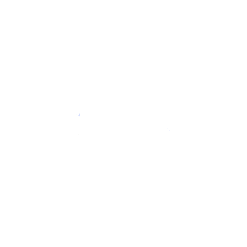 O=C(Nc1ccc(F)cc1)c1ccc(Cc2ccc3c(ccn3CCCCl)c2)cc1